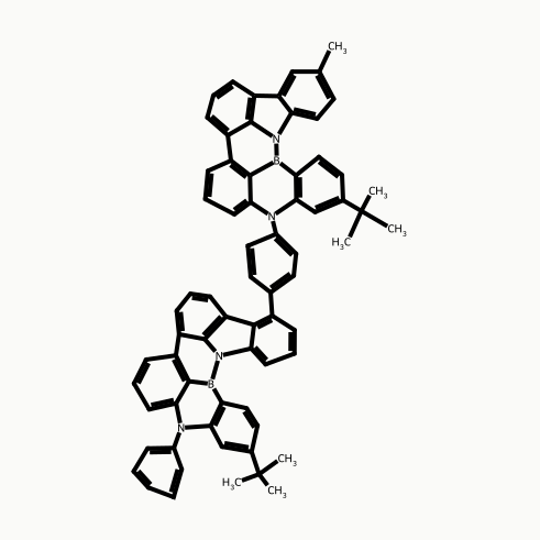 Cc1ccc2c(c1)c1cccc3c1n2B1c2ccc(C(C)(C)C)cc2N(c2ccc(-c4cccc5c4c4cccc6c4n5B4c5ccc(C(C)(C)C)cc5N(c5ccccc5)c5cccc-6c54)cc2)c2cccc-3c21